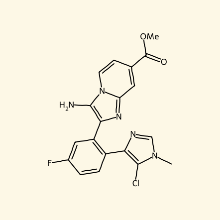 COC(=O)c1ccn2c(N)c(-c3cc(F)ccc3-c3ncn(C)c3Cl)nc2c1